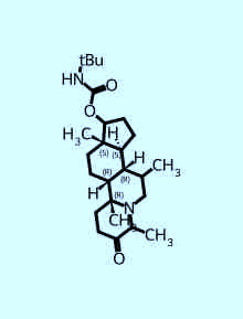 CC1CN2C(C)C(=O)CC[C@]2(C)[C@@H]2CC[C@]3(C)C(OC(=O)NC(C)(C)C)CC[C@H]3[C@H]12